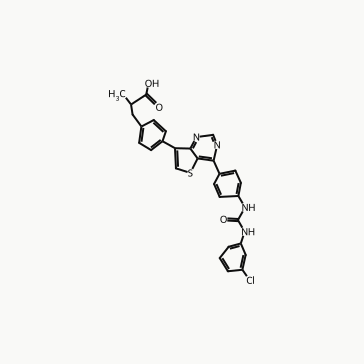 CC(Cc1ccc(-c2csc3c(-c4ccc(NC(=O)Nc5cccc(Cl)c5)cc4)ncnc23)cc1)C(=O)O